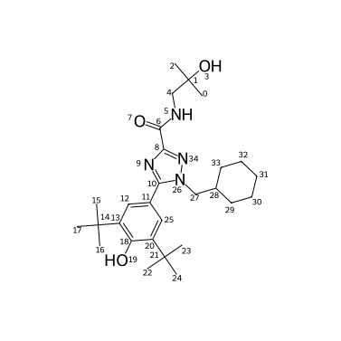 CC(C)(O)CNC(=O)c1nc(-c2cc(C(C)(C)C)c(O)c(C(C)(C)C)c2)n(CC2CCCCC2)n1